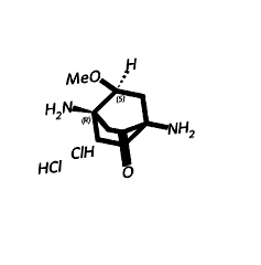 CO[C@H]1CC2(N)CC[C@@]1(N)CC2=O.Cl.Cl